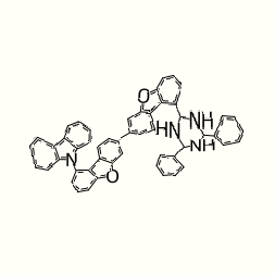 c1ccc(C2NC(c3ccccc3)NC(c3cccc4oc5cc(-c6ccc7c(c6)oc6cccc(-n8c9ccccc9c9ccccc98)c67)ccc5c34)N2)cc1